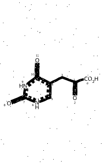 O=C(O)C(=O)[CH]c1c[nH]c(=O)[nH]c1=O